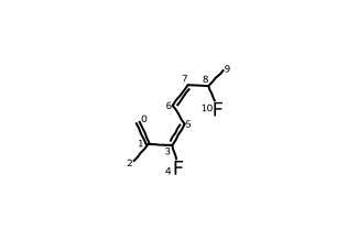 C=C(C)/C(F)=C\C=C/C(C)F